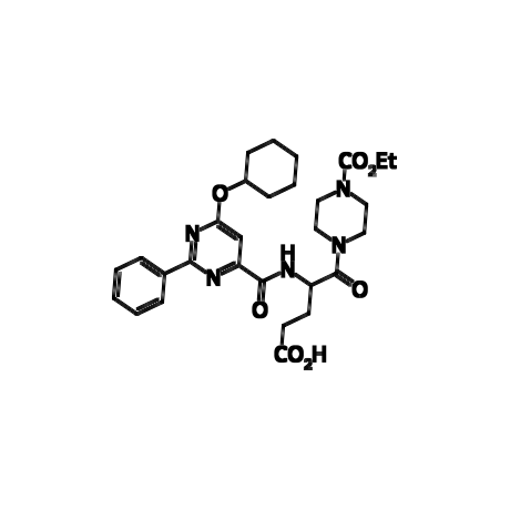 CCOC(=O)N1CCN(C(=O)C(CCC(=O)O)NC(=O)c2cc(OC3CCCCC3)nc(-c3ccccc3)n2)CC1